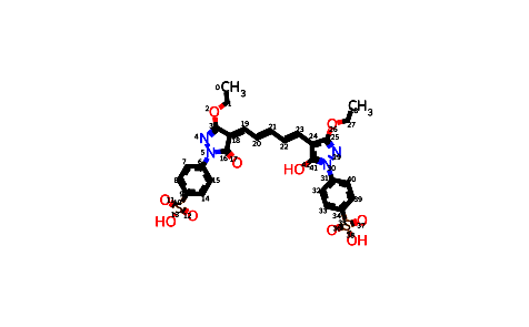 CCOC1=NN(c2ccc(S(=O)(=O)O)cc2)C(=O)C1=CC=CC=Cc1c(OCC)nn(-c2ccc(S(=O)(=O)O)cc2)c1O